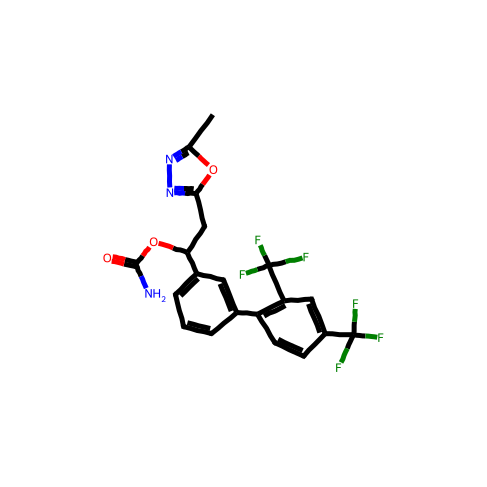 Cc1nnc(CC(OC(N)=O)c2cccc(-c3ccc(C(F)(F)F)cc3C(F)(F)F)c2)o1